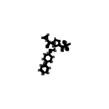 CS(=O)(=O)NC1CCN(C(=O)C2CC2)[C@H]1COC1CCC(c2ccccc2)CC1